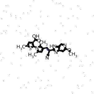 COc1cc2nc(/C(C#N)=C/c3cc(C)n(-c4sc(C)cc4C(=O)O)c3C)[nH]c2cn1